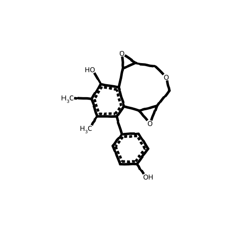 Cc1c(C)c(-c2ccc(O)cc2)c2c(c1O)C1OC1COCC1OC21